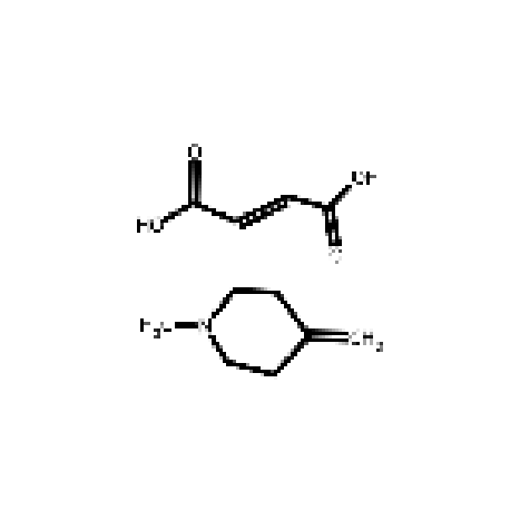 C=C1CCN(C)CC1.O=C(O)C=CC(=O)O